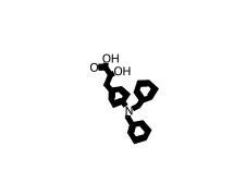 O=C(O)C(O)Cc1ccc(N(Cc2ccccc2)Cc2ccccc2)cc1